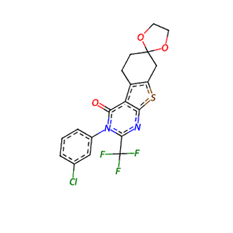 O=c1c2c3c(sc2nc(C(F)(F)F)n1-c1cccc(Cl)c1)CC1(CC3)OCCO1